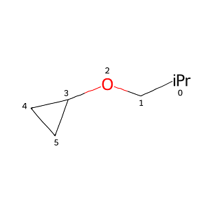 CC(C)COC1CC1